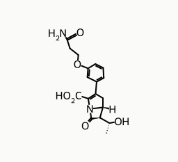 C[C@@H](O)[C@H]1C(=O)N2C(C(=O)O)=C(c3cccc(OCCC(N)=O)c3)C[C@H]12